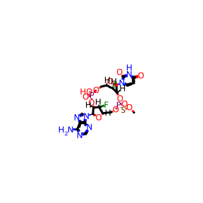 COSP1(=O)OC[C@H]2O[C@@H](n3cnc4c(N)ncnc43)[C@H](OP(=O)(O)OC[C@H]3O[C@@H](n4ccc(=O)[nH]c4=O)[C@H](O1)[C@@H]3F)[C@@H]2F